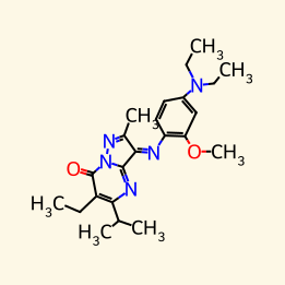 CCc1c(C(C)C)nc2n(c1=O)N=C(C)C2=Nc1ccc(N(CC)CC)cc1OC